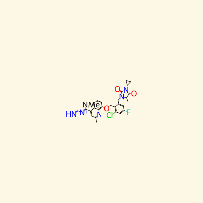 CN/C(=N\C=N)c1cc(C)nc2c(OCc3c(Cl)cc(F)cc3CN3C(=O)N(C4CC4)C(=O)C3C)cccc12